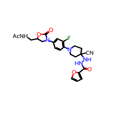 CC(=O)NCC1CN(c2ccc(N3CCC(C#N)(NNC(=O)c4ccco4)CC3)c(F)c2)C(=O)O1